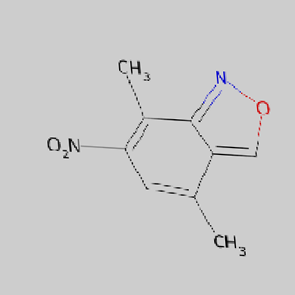 Cc1cc([N+](=O)[O-])c(C)c2nocc12